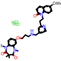 CCN1C(=O)C(C)(C)C(=O)N(C)c2cc(OCCCNCc3ccnc(CCn4c(=O)ccc5cc(OC)ccc54)c3)ccc21.Cl.Cl